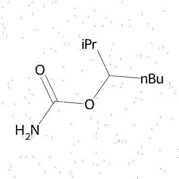 CCCCC(OC(N)=O)C(C)C